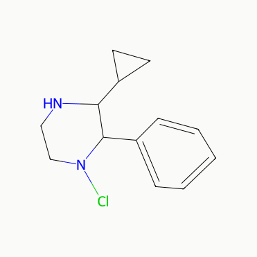 ClN1CCNC(C2CC2)C1c1ccccc1